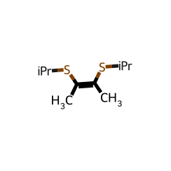 C/C(SC(C)C)=C(\C)SC(C)C